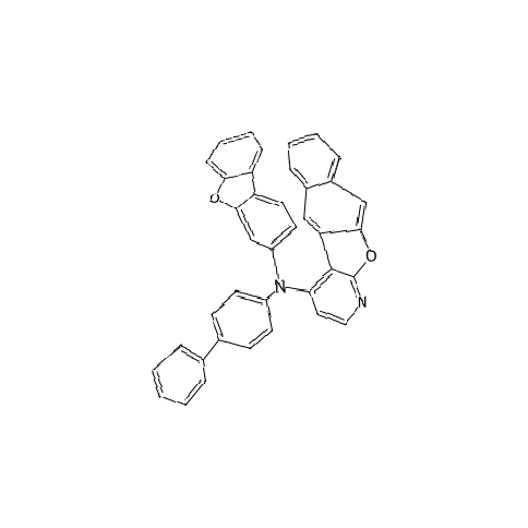 c1ccc(-c2ccc(N(c3ccc4c(c3)oc3ccccc34)c3ccnc4oc5cc6ccccc6cc5c34)cc2)cc1